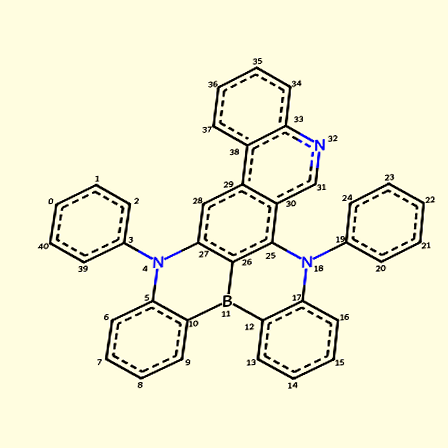 c1ccc(N2c3ccccc3B3c4ccccc4N(c4ccccc4)c4c3c2cc2c4cnc3ccccc32)cc1